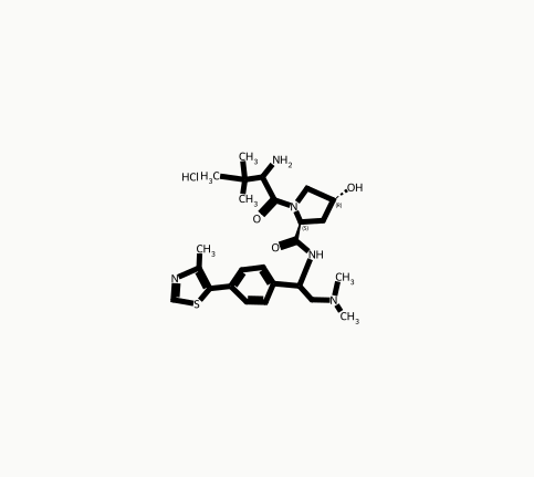 Cc1ncsc1-c1ccc(C(CN(C)C)NC(=O)[C@@H]2C[C@@H](O)CN2C(=O)C(N)C(C)(C)C)cc1.Cl